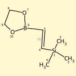 C[Si](C)(C)/C=C/B1OCCO1